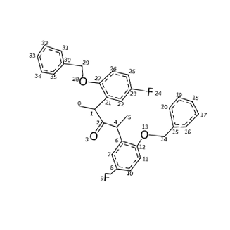 CC(C(=O)C(C)c1cc(F)ccc1OCc1ccccc1)c1cc(F)ccc1OCc1ccccc1